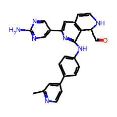 Cc1cc(-c2ccc(Nc3nc(-c4cnc(N)nc4)cc4c3C(C=O)NC=C4)cc2)ccn1